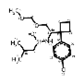 COCOC[C@H](N[S+]([O-])CC(C)C)C1(c2ccc(Cl)cc2)CCC1